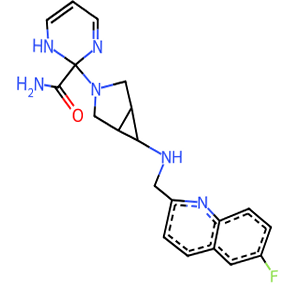 NC(=O)C1(N2CC3C(C2)C3NCc2ccc3cc(F)ccc3n2)N=CC=CN1